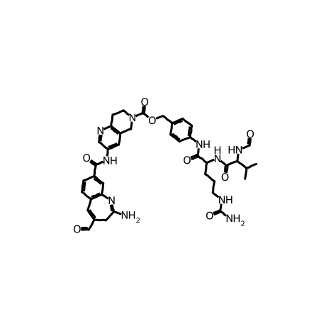 CC(C)C(NC=O)C(=O)NC(CCCNC(N)=O)C(=O)Nc1ccc(COC(=O)N2CCc3ncc(NC(=O)c4ccc5c(c4)N=C(N)CC(C=O)=C5)cc3C2)cc1